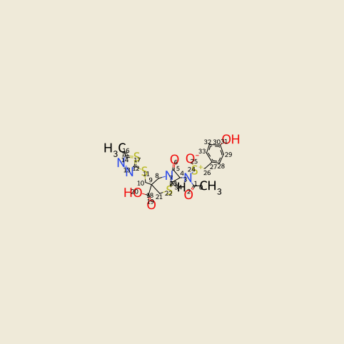 CC(=O)N(C1C(=O)N2CC(CSc3nnc(C)s3)(C(=O)O)CS[C@H]12)[S+]([O-])Cc1ccc(O)cc1